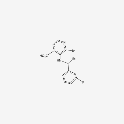 CCC(Nc1c(C(=O)O)ccnc1Br)c1cccc(F)c1